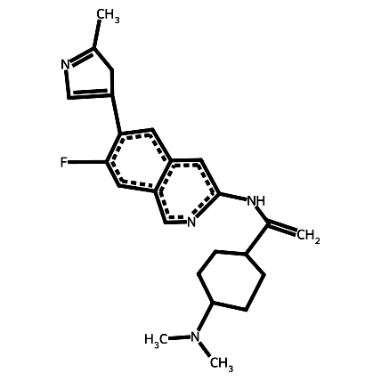 C=C(Nc1cc2cc(C3=CN=C(C)C3)c(F)cc2cn1)C1CCC(N(C)C)CC1